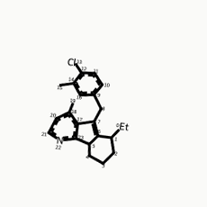 CCC1CCCC2C1=C(Cc1ccc(Cl)c(C)c1)c1c(C)ccnc12